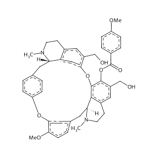 COc1ccc(C(=O)Oc2c(CO)cc3c4c2Oc2cc5c(cc2CO)CCN(C)[C@H]5Cc2ccc(cc2)Oc2cc(ccc2OC)C[C@@H]4N(C)CC3)cc1